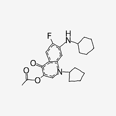 CC(=O)Oc1cn(C2CCCC2)c2cc(NC3CCCCC3)c(F)cc2c1=O